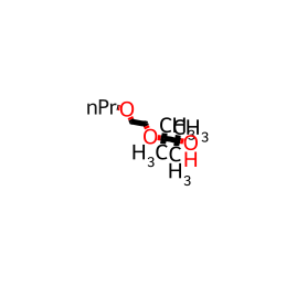 CCCOCCOC(C)(C)C(C)(C)O